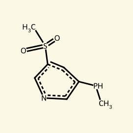 CPc1cncc(S(C)(=O)=O)c1